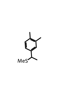 CSC(C)c1ccc(C)c(C)c1